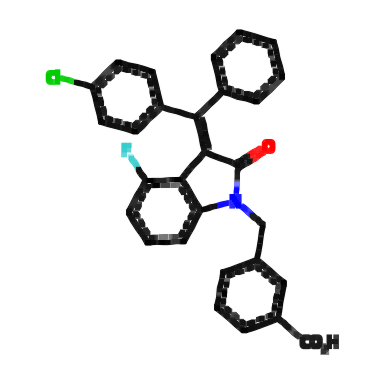 O=C(O)c1cccc(CN2C(=O)/C(=C(\c3ccccc3)c3ccc(Cl)cc3)c3c(F)cccc32)c1